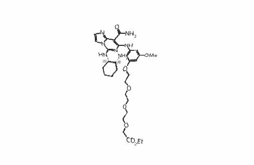 CCOC(=O)COCCOCCOCCOc1cc(Nc2nc(N[C@H]3CCCC[C@H]3N)n3ccnc3c2C(N)=O)cc(OC)c1